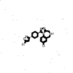 CCc1cc([C@H]2CC[C@H](c3nnc4n3-c3ccc(Cl)cc3CNC4)CC2)no1